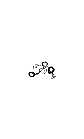 CCC[C@@H]1CCC[C@@H](c2ccc(Br)cc2)N1C(=O)OCc1ccccc1